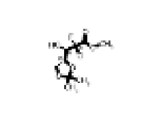 COC(=O)[C@](F)(Cl)[C@H](O)[C@H]1COC(C)(C)O1